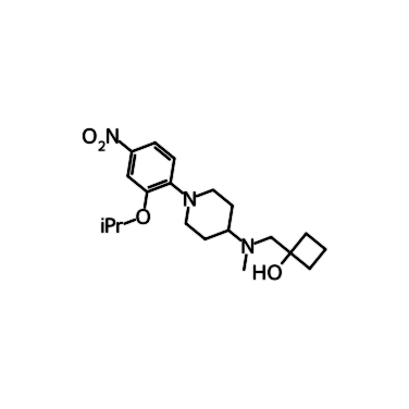 CC(C)Oc1cc([N+](=O)[O-])ccc1N1CCC(N(C)CC2(O)CCC2)CC1